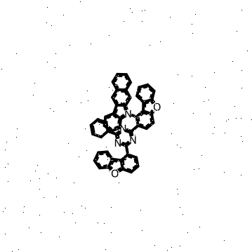 C1=CCC(c2nc(-c3ccc4oc5ccccc5c4c3-n3c4ccccc4c4cc5ccccc5cc43)nc(-c3cccc4oc5ccccc5c34)n2)C=C1